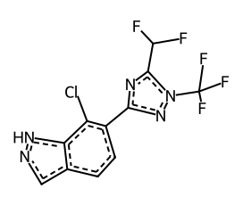 FC(F)c1nc(-c2ccc3cn[nH]c3c2Cl)nn1C(F)(F)F